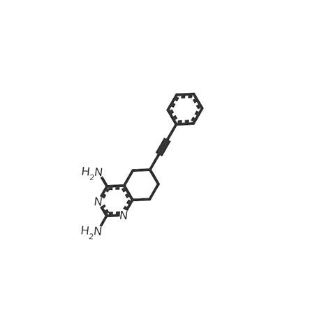 Nc1nc(N)c2c(n1)CCC(C#Cc1ccccc1)C2